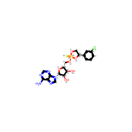 Nc1ncnc2c1ncn2[C@@H]1O[C@H](CO[P@@]2(=S)OC[C@@H](c3cccc(Cl)c3)O2)[C@@H](O)[C@H]1O